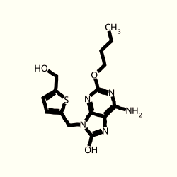 CCCCOc1nc(N)c2nc(O)n(Cc3ccc(CO)s3)c2n1